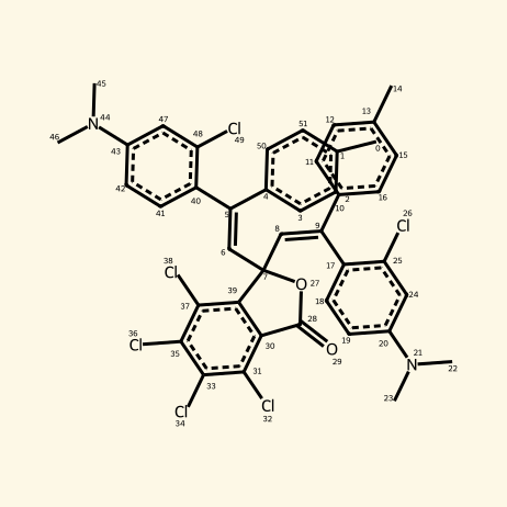 Cc1ccc(C(=CC2(C=C(c3ccc(C)cc3)c3ccc(N(C)C)cc3Cl)OC(=O)c3c(Cl)c(Cl)c(Cl)c(Cl)c32)c2ccc(N(C)C)cc2Cl)cc1